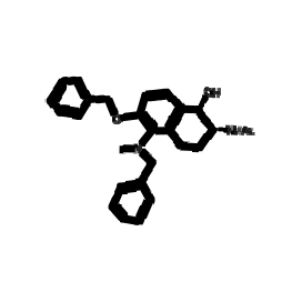 CC(=O)N[C@@H]1CCc2c(ccc(OCc3ccccc3)c2N(C)Cc2ccccc2)[C@H]1O